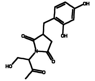 CC(=O)C(CO)N1C(=O)CC(Cc2ccc(O)cc2O)C1=O